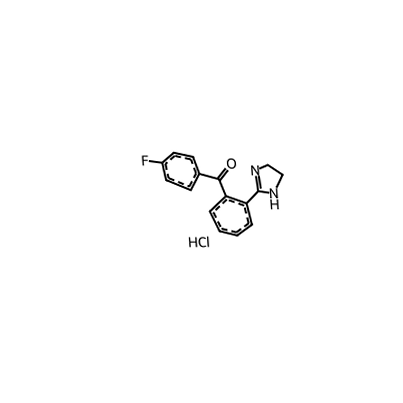 Cl.O=C(c1ccc(F)cc1)c1ccccc1C1=NCCN1